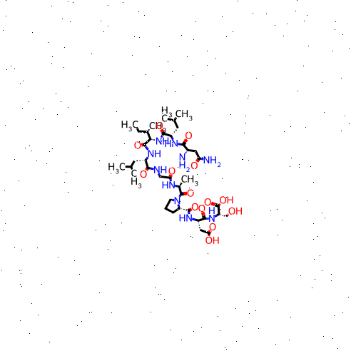 CC[C@H](C)[C@H](NC(=O)[C@H](CC(C)C)NC(=O)[C@@H](N)CC(N)=O)C(=O)N[C@@H](CC(C)C)C(=O)NCC(=O)N[C@@H](C)C(=O)N1CCC[C@H]1C(=O)N[C@@H](CC(=O)O)C(=O)N[C@@H](CO)C(=O)O